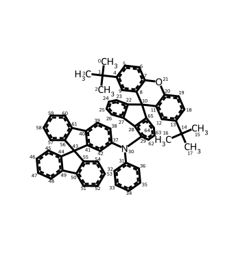 CC(C)(C)c1ccc2c(c1)C1(c3cc(C(C)(C)C)ccc3O2)c2ccccc2-c2c(N(c3ccccc3)c3ccc4c(c3)C3(c5ccccc5-c5ccccc53)c3ccccc3-4)cccc21